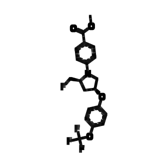 COC(=O)c1ccc(N2C[C@@H](Oc3ccc(OC(F)(F)F)cc3)C[C@H]2CF)cc1